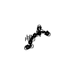 O=C(Nc1ccc(C(=O)N2CCOCC2)cc1)Nc1ccc(-c2ncc(OCCN3CCOCC3)c(N3CCOCC3)n2)cc1